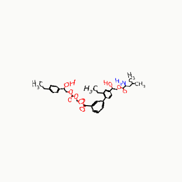 CCc1ccc(C(O)COC(=O)OCOC(=O)c2cccc(-c3ccc(C(O)COC(=O)C(N)CC(C)C)cc3CC)c2)cc1